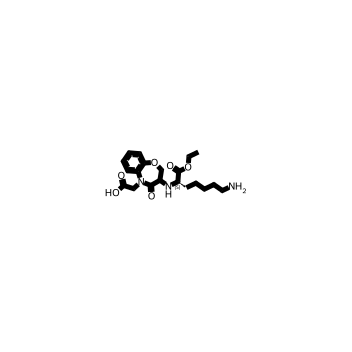 CCOC(=O)[C@H](CCCCCN)NC1COc2ccccc2N(CC(=O)O)C1=O